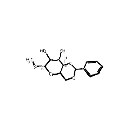 CS[C@@H]1OC2COC(c3ccccc3)O[C@@H]2C(O)C1O